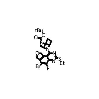 CCSc1nc(N2C3CCC34C2CN4C(=O)OC(C)(C)C)c2c3c(c(Br)c(F)c2n1)COC3